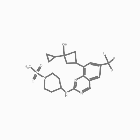 CS(=O)(=O)N1CCC(Nc2ncc3cc(C(F)(F)F)cc(C4CC(O)(C5CC5)C4)c3n2)CC1